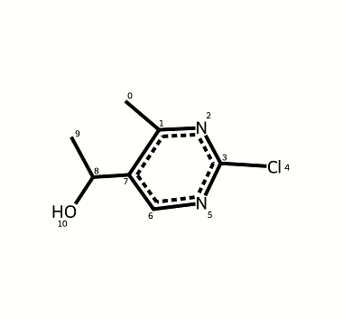 Cc1nc(Cl)ncc1C(C)O